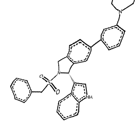 CCN(CC)c1cccc(-c2ccc3c(c2)[C@H](c2c[nH]c4ccccc24)N(S(=O)(=O)Cc2ccccc2)C3)c1